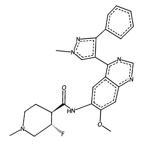 COc1cc2ncnc(-c3cn(C)nc3-c3ccccc3)c2cc1NC(=O)[C@@H]1CCN(C)C[C@H]1F